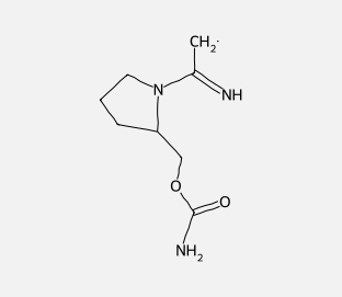 [CH2]C(=N)N1CCCC1COC(N)=O